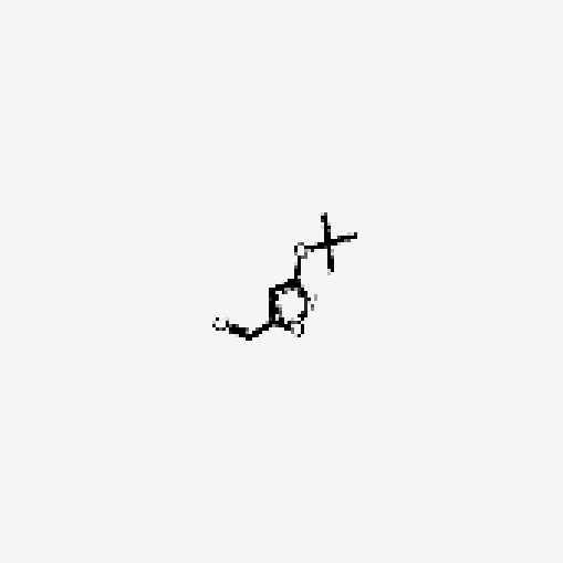 CC(C)(C)Oc1cc(C=O)on1